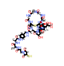 CC[C@H](C)[C@@H]1NC(=O)CNC(=O)[C@@H]2Cc3c([nH]c4ccccc34)SC[C@H](NC(=O)CNC1=O)C(=O)N[C@@H](CC(=O)NCc1ccc(NC(=O)[C@H](C)NC(=O)[C@@H](NC(=O)CCN3C(=O)CC(S)C3=O)C(C)C)cc1)C(=O)N1C[C@H](O)C[C@@H]1C(=O)N[C@@H]([C@@H](C)[C@@H](O)CO)C(=O)N2